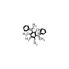 Cc1c(P)c(C)c([SiH](C)c2ccccc2)c(C)c1[SiH](C)c1ccccc1